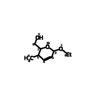 CCOC1C=CC(C)C(CO)O1